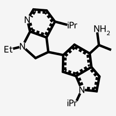 CCN1CC(c2cc(C(C)N)c3ccn(C(C)C)c3c2)c2c(C(C)C)ccnc21